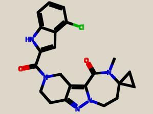 CN1C(=O)c2c3c(nn2CCC12CC2)CCN(C(=O)c1cc2c(Cl)cccc2[nH]1)C3